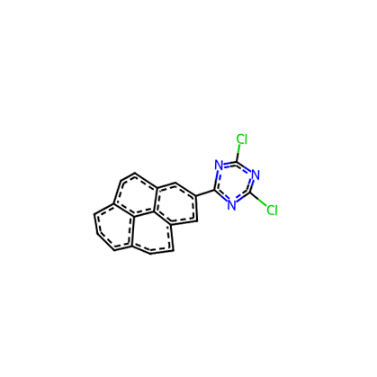 Clc1nc(Cl)nc(-c2cc3ccc4cccc5ccc(c2)c3c45)n1